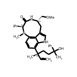 C=C[C@@](C)(CCC(C)(O)C(C)C)c1ccc2c3c(c[nH]c13)C[C@@H](COC)NC(=O)[C@H](C(C)C)N2C